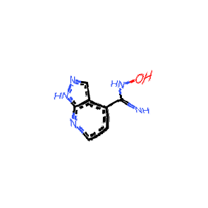 N=C(NO)c1ccnc2[nH]ncc12